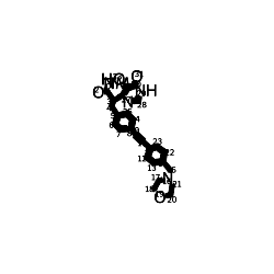 CNC(=O)C(Cc1ccc(C#Cc2ccc(CN3CCOCC3)cc2)cc1)c1nc[nH]c(=O)c1O